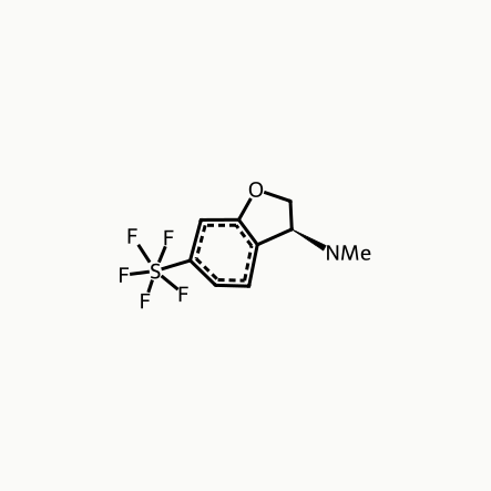 CN[C@@H]1COc2cc(S(F)(F)(F)(F)F)ccc21